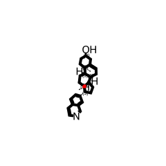 C[C@]12CC[C@H]3[C@@H](CC=C4C[C@H](O)CC[C@@]43C)[C@@H]1CC[C@@H]2c1ccc2ccncc2c1